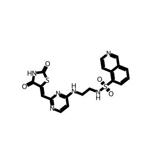 O=C1NC(=O)C(=Cc2nccc(NCCNS(=O)(=O)c3cccc4cnccc34)n2)S1